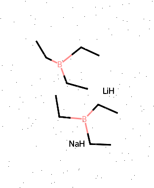 CCB(CC)CC.CCB(CC)CC.[LiH].[NaH]